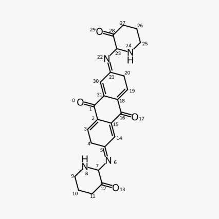 O=C1C2=CCC(=NC3NCCCC3=O)C=C2C(=O)C2=CCC(=NC3NCCCC3=O)C=C12